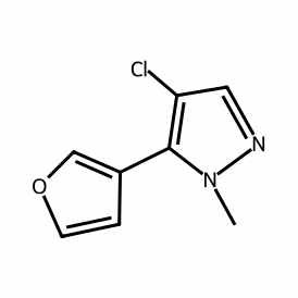 Cn1ncc(Cl)c1-c1ccoc1